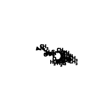 CO[C@]1(C)C[C@@H](C)CN(C)[C@H](C2CN(C(=O)CCCN(C)CC3CC3)C2)COC(=O)C(C)(C)C(=O)[C@H](C)[C@H]1OC1O[C@H](C)C[C@H](N(C)C)[C@H]1O